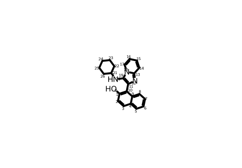 Oc1ccc2ccccc2c1-c1nc2ccccn2c1NC1CCCCC1